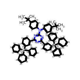 CC(C)(C)c1ccc(N(c2ccc(C(C)(C)C)cc2)c2nc(-c3cccc([Si](c4ccccc4)(c4ccccc4)c4ccccc4)c3)nc(-c3cccc([Si](c4ccccc4)(c4ccccc4)c4ccccc4)c3)n2)cc1